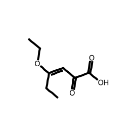 CCOC(=CC(=O)C(=O)O)CC